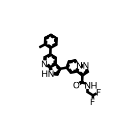 Cc1ccccc1-c1cnc2[nH]cc(-c3ccn4ncc(C(=O)NCC(F)F)c4c3)c2c1